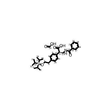 CC(C)[Si](OCCc1ccc([C@H](CNC(=O)c2ccccc2)C(=O)O)cc1)(C(C)C)C(C)C.O=CO